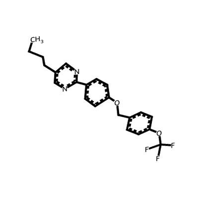 CCCCc1cnc(-c2ccc(OCc3ccc(OC(F)(F)F)cc3)cc2)nc1